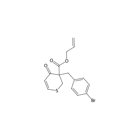 C=CCOC(=O)C1(Cc2ccc(Br)cc2)CSC=CC1=O